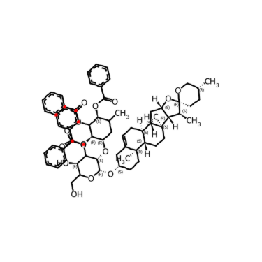 CC1C[C@@H](O[C@H]2C(OC(=O)c3ccccc3)[C@H](O)C(CO)O[C@H]2O[C@H]2CC[C@@]3(C)C(=CC[C@H]4[C@@H]5C[C@@H]6O[C@]7(CC[C@@H](C)CO7)[C@@H](C)[C@@H]6[C@@]5(C)CC[C@@H]43)C2)[C@@H](OC(=O)c2ccccc2)C(OC(=O)c2ccccc2)[C@H]1OC(=O)c1ccccc1